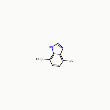 CC(C)c1ccc(C(=O)O)c2[nH]ccc12